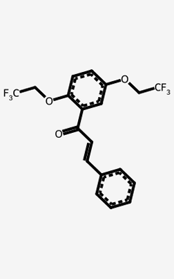 O=C(/C=C/c1ccccc1)c1cc(OCC(F)(F)F)ccc1OCC(F)(F)F